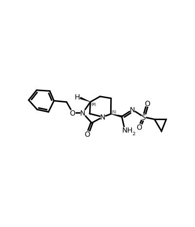 NC(=NS(=O)(=O)C1CC1)[C@@H]1CC[C@@H]2CN1C(=O)N2OCc1ccccc1